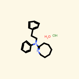 Cl.O.c1ccc(CCN(C2=NCCCCCC2)c2ccccc2)cc1